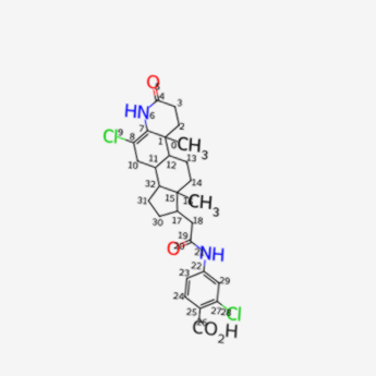 CC12CCC(=O)NC1=C(Cl)CC1C2CCC2(C)C(CC(=O)Nc3ccc(C(=O)O)c(Cl)c3)CCC12